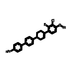 CCCc1ccc(-c2ccc(C3CC=C(c4ccc(OCC)c(Cl)c4F)CC3)cc2)cc1